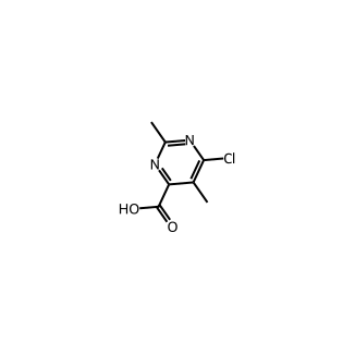 Cc1nc(Cl)c(C)c(C(=O)O)n1